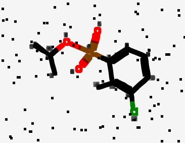 [CH2][C@H](C)OS(=O)(=O)c1cccc(Cl)c1C